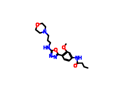 CCCC(=O)Nc1ccc(-c2nnc(NCCCN3CCOCC3)o2)c(OC)c1